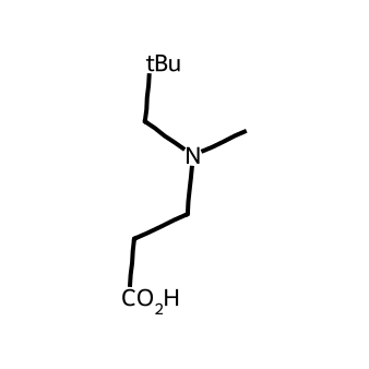 CN(CCC(=O)O)CC(C)(C)C